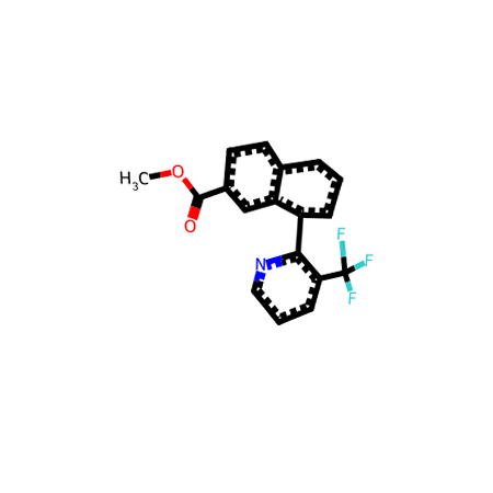 COC(=O)c1ccc2cccc(-c3ncccc3C(F)(F)F)c2c1